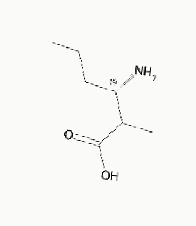 CCC[C@H](N)C(C)C(=O)O